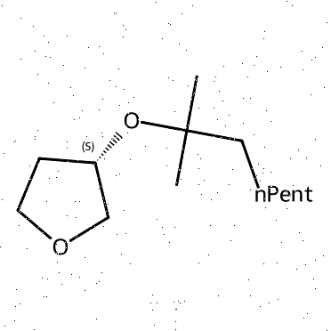 CCCCCCC(C)(C)O[C@H]1CCOC1